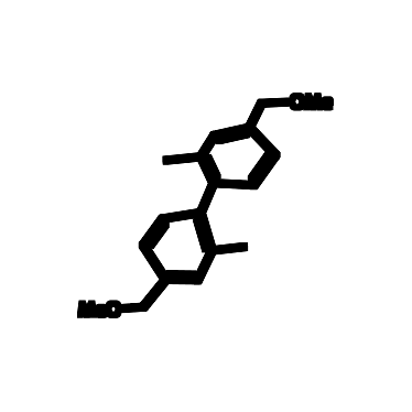 COCc1ccc(-c2ccc(COC)cc2C)c(C)c1